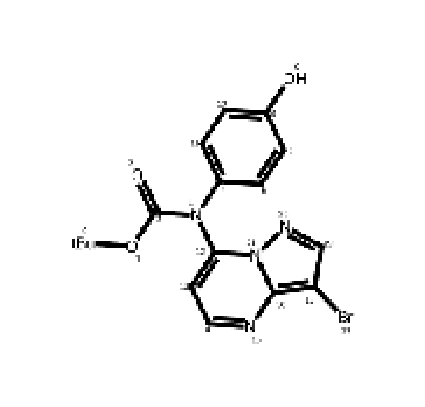 CC(C)(C)OC(=O)N(c1ccc(O)cc1)c1ccnc2c(Br)cnn12